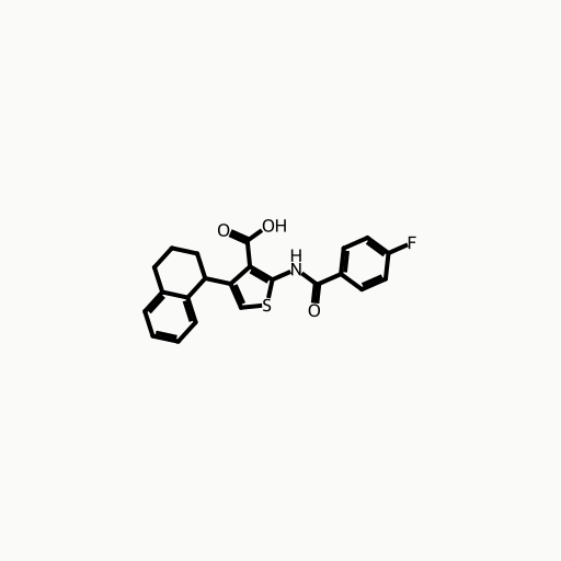 O=C(Nc1scc(C2CCCc3ccccc32)c1C(=O)O)c1ccc(F)cc1